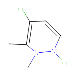 CC1=C(Cl)C=CN(Cl)N1C